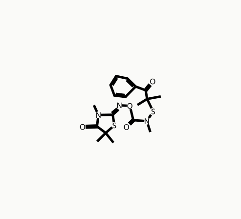 CN(SC(C)(C)C(=O)c1ccccc1)C(=O)ON=C1SC(C)(C)C(=O)N1C